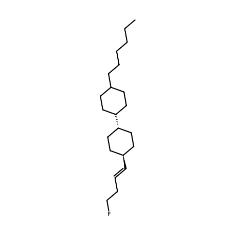 CCCCCCC1CCC([C@H]2CC[C@H](/C=C/CCF)CC2)CC1